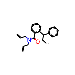 [CH2]CC(c1ccccc1)c1ccccc1C(=O)N(CC=C)CC=C